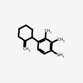 C=C1CCCCC1c1ccc([SiH3])c(C)c1C